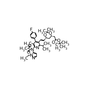 CCn1nccc1N(c1nc(C(C)C)c(/C=C/[C@@H]2C[C@H](CC(=O)OC(C)(C)C)OC(C)(C)O2)c(-c2ccc(F)cc2)c1C)S(C)(=O)=O